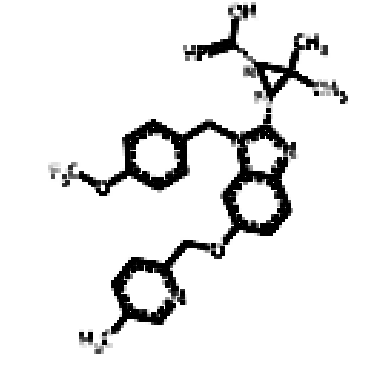 Cc1ccc(COc2ccc3nc([C@@H]4[C@H](C(O)=P)C4(C)C)n(Cc4ccc(OC(F)(F)F)cc4)c3c2)nc1